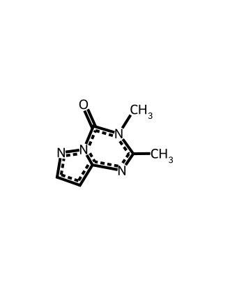 Cc1nc2ccnn2c(=O)n1C